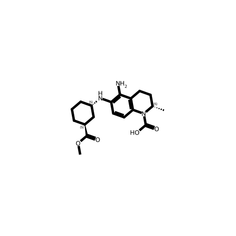 COC(=O)[C@H]1CCC[C@H](Nc2ccc3c(c2N)CC[C@H](C)N3C(=O)O)C1